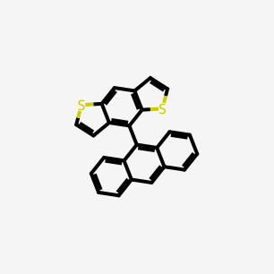 c1ccc2c(-c3c4ccsc4cc4ccsc34)c3ccccc3cc2c1